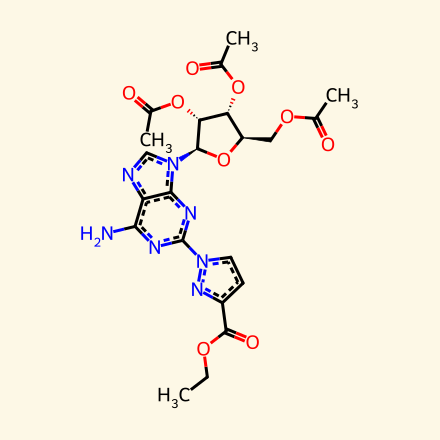 CCOC(=O)c1ccn(-c2nc(N)c3ncn([C@@H]4O[C@H](COC(C)=O)[C@@H](OC(C)=O)[C@H]4OC(C)=O)c3n2)n1